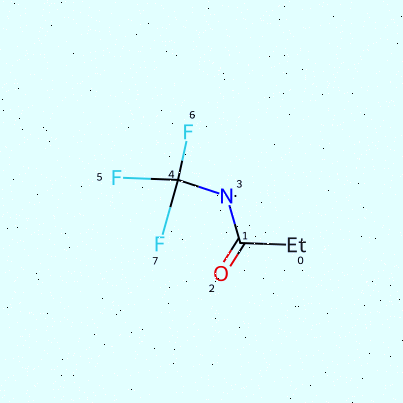 CCC(=O)[N]C(F)(F)F